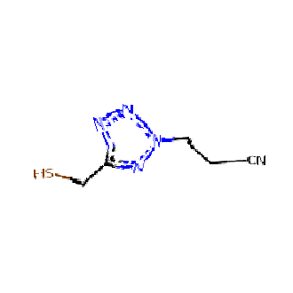 N#CCCn1nnc(CS)n1